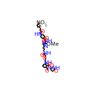 COc1nc(CCCNC(=O)COCCNc2cccc3c2C(=O)N(C2CCC(=O)NC2=O)C3=O)cnc1NS(=O)(=O)c1ccc(NC(=O)/C=C/c2ccc([N+](=O)[O-])s2)cc1